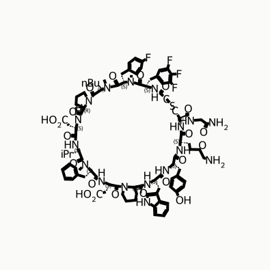 CCCC[C@H]1C(=O)N2CCC[C@@H]2C(=O)N[C@@H](CC(=O)O)C(=O)N[C@@H](C(C)C)C(=O)N(C)[C@@H](Cc2ccccc2)C(=O)N[C@@H](CC(=O)O)C(=O)N2CCCC[C@@H]2C(=O)N[C@@H](Cc2c[nH]c3ccccc23)C(=O)N[C@@H](Cc2ccc(O)cc2)C(=O)N[C@@H](CCC(=O)CN)C(=O)N[C@H](C(=O)NCC(N)=O)CSCC(=O)N[C@@H](Cc2cc(F)c(F)c(F)c2)C(=O)N(C)[C@@H](Cc2ccc(F)cc2)C(=O)N1C